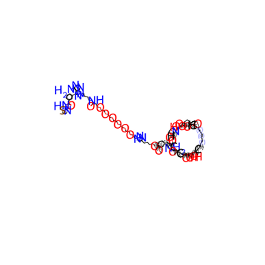 CO[C@H]1C[C@@H]2CCC[C@@](O)(O2)C(=O)C(=O)N2CCCC[C@H]2C(=O)OC([C@H](N)C[C@@H]2CC[C@@H](OCCCCc3cn(CCOCCOCCOCCOCCOCCOCCC(=O)NCCCCn4nc(-c5cccc(C(=O)NC6=NCCS6)c5)c5c(N)ncnc54)nn3)[C@H](OC)C2)CC(=O)[C@H](C)C[C@H](C)[C@@H](O)[C@@H](O)C(=O)[C@H](C)C[C@H](C)/C=C/C=C/C=C/1C